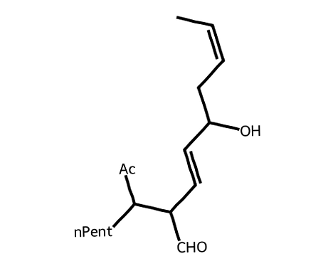 C/C=C\CC(O)/C=C/C(C=O)C(CCCCC)C(C)=O